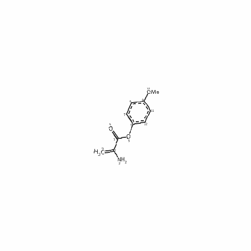 C=C(N)C(=O)Oc1ccc(OC)cc1